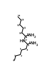 CCCCCC(N)NC(N)CCCCC